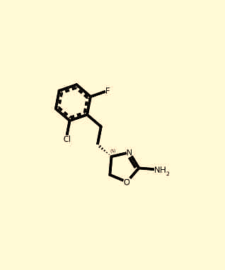 NC1=N[C@@H](CCc2c(F)cccc2Cl)CO1